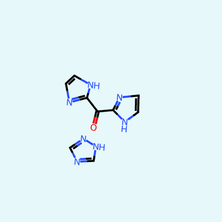 O=C(c1ncc[nH]1)c1ncc[nH]1.c1nc[nH]n1